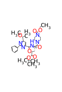 CCOC(=O)N1CCN(C(=O)[C@H](CCC(=O)OC(C)(C)C)NC(=O)c2cc(C(C)OC)nc(-c3ccccc3)n2)CC1